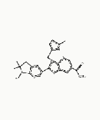 CCN1c2ncc(-c3nc4cc(C(=O)OC)cnc4n3Cc3ccn(C)n3)cc2CC1(C)C